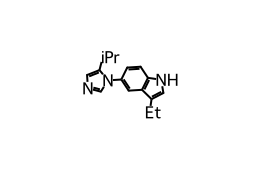 CCc1c[nH]c2ccc(-n3cncc3C(C)C)cc12